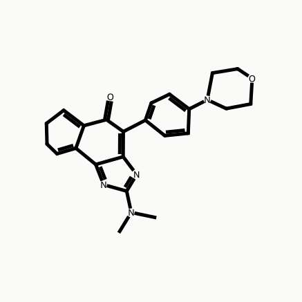 CN(C)C1=NC2=C(c3ccc(N4CCOCC4)cc3)C(=O)C3=CCCC=C3C2=N1